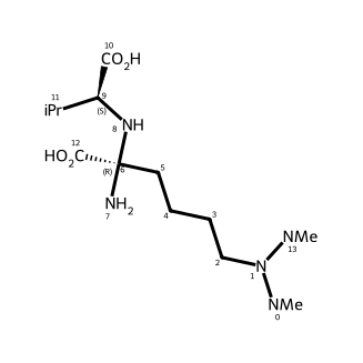 CNN(CCCC[C@@](N)(N[C@H](C(=O)O)C(C)C)C(=O)O)NC